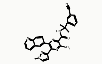 Cn1ccc(-c2nc(N)c(C(=O)NC(C)(C)c3cccc(C#N)c3)nc2-c2ccc3ncccc3c2)n1